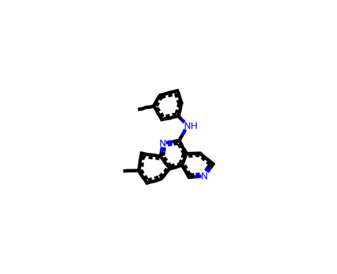 Cc1cccc(Nc2nc3cc(C)ccc3c3cnccc23)c1